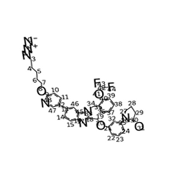 [N-]=[N+]=NCCCCCOc1ccc(-c2ccc3nc(COc4cccc(N5CCCC5=O)c4)n(Cc4ccccc4OC(F)F)c3c2)cn1